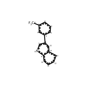 FC(F)(F)c1cccc(-c2cnc3ccccc3c2)c1